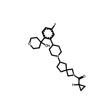 O=C(N1CC2(CCC(N3CCC(c4cc(F)ccc4C4(O)CCOCC4)CC3)C2)C1)C1(F)CC1